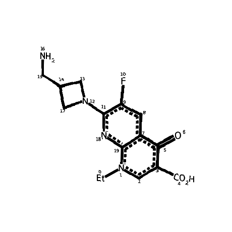 CCn1cc(C(=O)O)c(=O)c2cc(F)c(N3CC(CN)C3)nc21